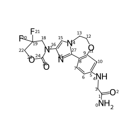 NC(=O)CNc1ccc2c(c1)OCCn1cc(N3CC(F)(F)COC3=O)nc1-2